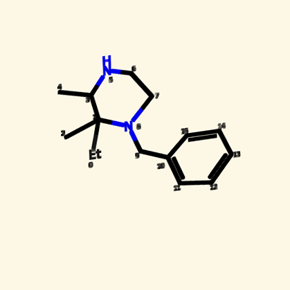 CCC1(C)C(C)NCCN1Cc1ccccc1